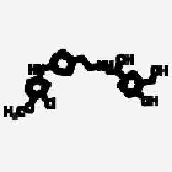 COc1ccc(Nc2ccc(CCNCC(O)c3ccc(O)c(CO)c3)cc2)cc1Cl